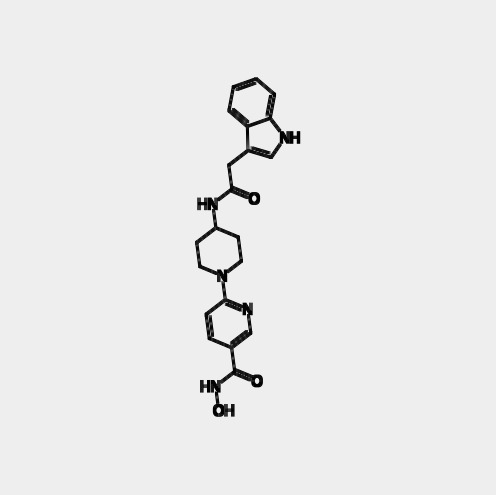 O=C(Cc1c[nH]c2ccccc12)NC1CCN(c2ccc(C(=O)NO)cn2)CC1